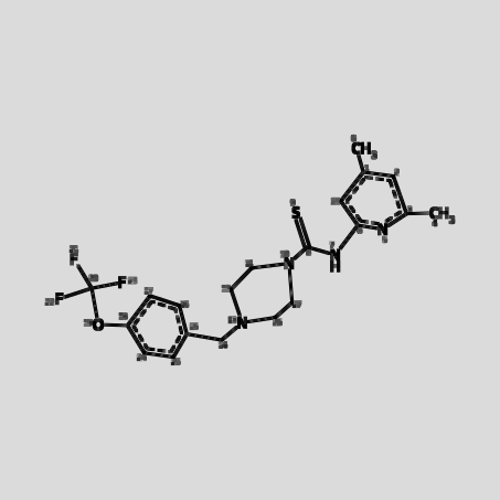 Cc1cc(C)nc(NC(=S)N2CCN(Cc3ccc(OC(F)(F)F)cc3)CC2)c1